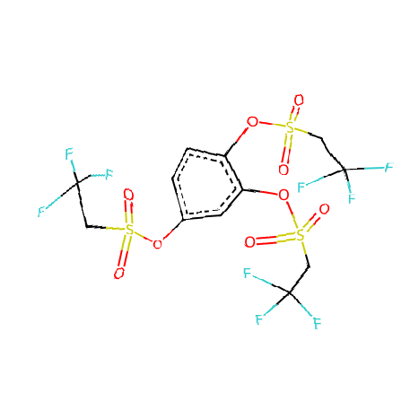 O=S(=O)(CC(F)(F)F)Oc1ccc(OS(=O)(=O)CC(F)(F)F)c(OS(=O)(=O)CC(F)(F)F)c1